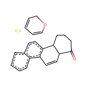 C1=CCOC=C1.O=C1CCCC2c3ccc4ccccc4c3C=CC12.S